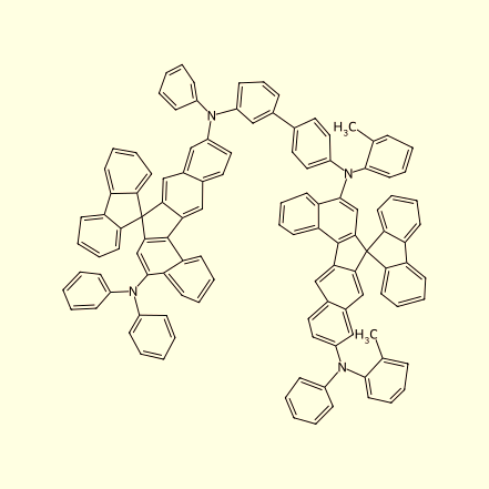 Cc1ccccc1N(c1ccccc1)c1ccc2cc3c(cc2c1)C1(c2ccccc2-c2ccccc21)c1cc(N(c2ccc(-c4cccc(N(c5ccccc5)c5ccc6cc7c(cc6c5)C5(c6ccccc6-c6ccccc65)c5cc(N(c6ccccc6)c6ccccc6)c6ccccc6c5-7)c4)cc2)c2ccccc2C)c2ccccc2c1-3